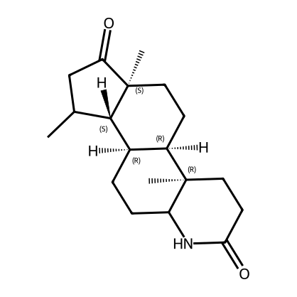 CC1CC(=O)[C@@]2(C)CC[C@@H]3[C@@H](CCC4NC(=O)CC[C@@]43C)[C@H]12